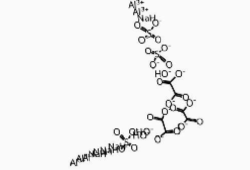 O=C([O-])C(=O)[O-].O=C([O-])C(=O)[O-].O=C([O-])C(=O)[O-].O=S(=O)([O-])[O-].O=S(=O)([O-])[O-].O=S(=O)([O-])[O-].[Al+3].[Al+3].[Al+3].[Al+3].[Al+3].[NaH].[NaH].[NaH].[NaH].[NaH].[OH-].[OH-].[OH-]